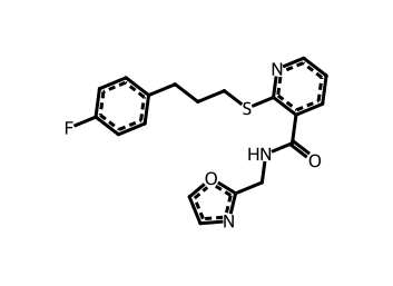 O=C(NCc1ncco1)c1cccnc1SCCCc1ccc(F)cc1